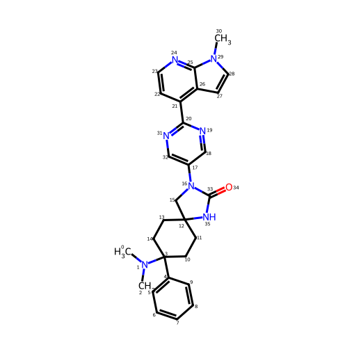 CN(C)C1(c2ccccc2)CCC2(CC1)CN(c1cnc(-c3ccnc4c3ccn4C)nc1)C(=O)N2